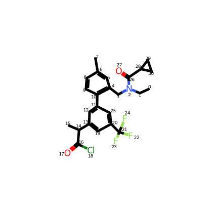 CCN(Cc1cc(C)ccc1-c1cc(C(C)C(=O)Cl)cc(C(F)(F)F)c1)C(=O)C1CC1